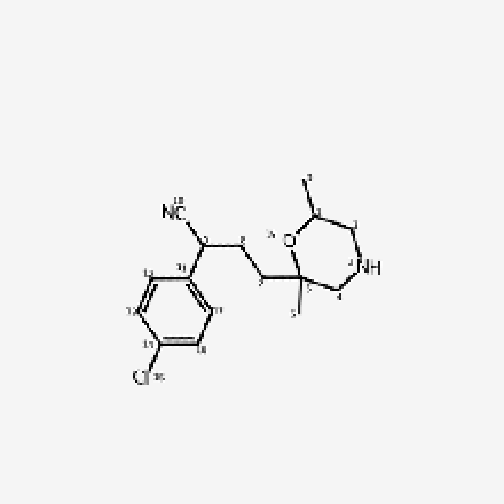 CC1CNCC(C)(CCC(C#N)c2ccc(Cl)cc2)O1